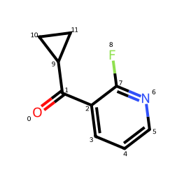 O=C(c1cccnc1F)C1CC1